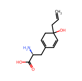 C=CCC1(O)C=CC(C[C@H](N)C(=O)O)=CC1